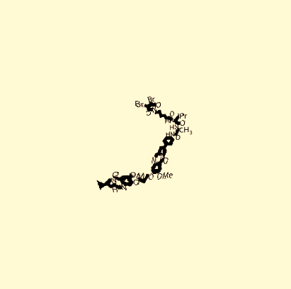 COc1cc2c(cc1OCCCOc1cc3c(cc1OC)C(=O)N1C=C(C4CC4)C[C@@H]1C=N3)N=CC1CC(c3ccc(NC(=O)C(C)NC(=O)C(NC(=O)CCCCCN4C(=O)C(Br)=C(Br)C4=O)C(C)C)cc3)=CN1C2=O